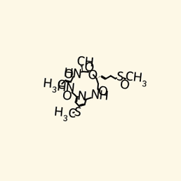 C#C[C@@H]1NC(=O)/C(=C/C)NC(=O)c2cc(SC)cc(n2)CNC(=O)C[C@@H](/C=C/CCSC(C)=O)OC1=O